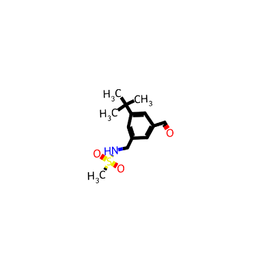 CC(C)(C)c1cc(C=O)cc(CNS(C)(=O)=O)c1